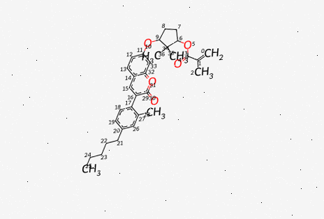 C=C(C)C(=O)OC1CCC(Oc2ccc3cc(-c4ccc(CCCCC)cc4C)c(=O)oc3c2)C1(C)C